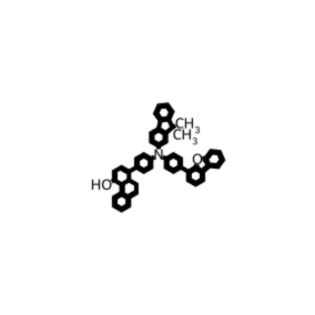 CC1(C)c2ccccc2-c2ccc(N(c3ccc(C4=CC=C(O)C5=c6ccccc6=CCC45)cc3)c3ccc(-c4cccc5c4oc4ccccc45)cc3)cc21